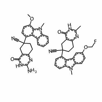 COc1ccc(C2(C#N)CCc3nc(N)[nH]c(=O)c3C2)c2c3ccccc3n(C)c12.Cc1nc2c(c(=O)[nH]1)CC(C#N)(c1cccc3c1c1cc(OCF)ccc1n3C)CC2